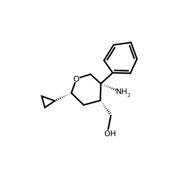 N[C@@]1(c2ccccc2)CO[C@@H](C2CC2)C[C@H]1CO